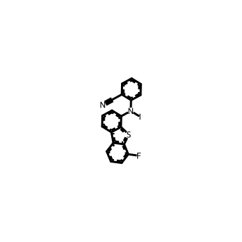 N#Cc1ccccc1N(I)c1cccc2c1sc1c(F)cccc12